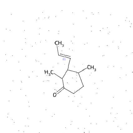 C/C=C/C1C(C)CCC(=O)C1C